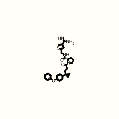 N=C(N)c1csc(CNC(=O)[C@@H]2CCCN2C(=O)CCC2(c3ccc(Oc4ccccc4)cc3)CC2)c1